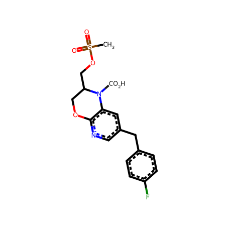 CS(=O)(=O)OCC1COc2ncc(Cc3ccc(F)cc3)cc2N1C(=O)O